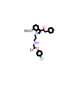 CCC(CNCCCn1cc(C(=O)Cc2ccccc2)c2cccc(OC)c21)Oc1ccc(Cl)cc1